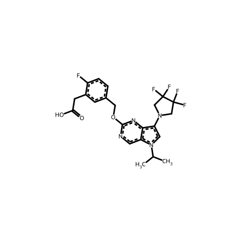 CC(C)n1cc(N2CC(F)(F)C(F)(F)C2)c2nc(OCc3ccc(F)c(CC(=O)O)c3)ncc21